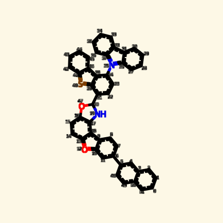 c1ccc2cc(-c3ccc4c(c3)oc3ccc5c(c34)NC(c3ccc(-n4c6ccccc6c6ccccc64)c4c3sc3ccccc34)O5)ccc2c1